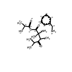 CC(N)C(=O)C(C)C(N)(N)C(=O)OC(=O)C(C)O.NCc1ccccc1